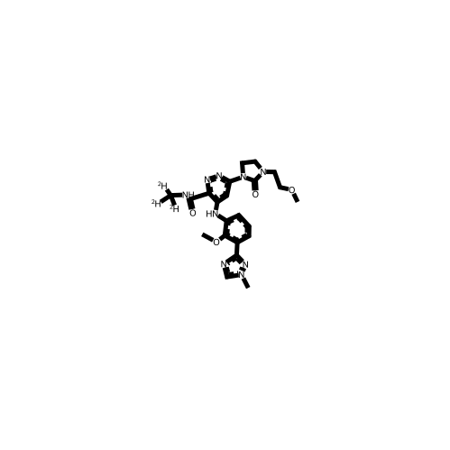 [2H]C([2H])([2H])NC(=O)c1nnc(N2CCN(CCOC)C2=O)cc1Nc1cccc(-c2ncn(C)n2)c1OC